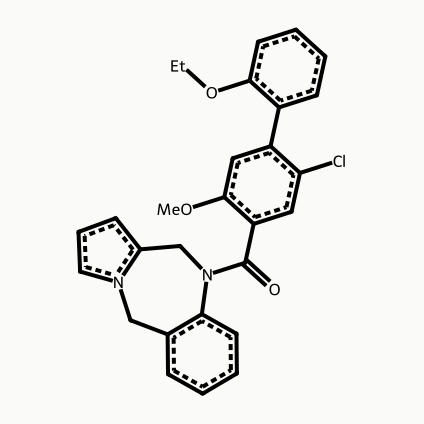 CCOc1ccccc1-c1cc(OC)c(C(=O)N2Cc3cccn3Cc3ccccc32)cc1Cl